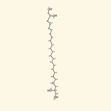 OCC(O)COCCCCCCCCCCCCCCCCOCC(O)CO